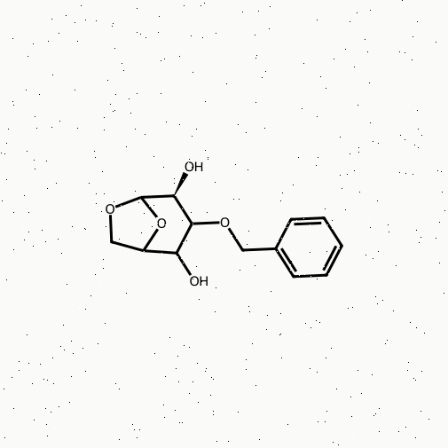 OC1C2COC(O2)[C@@H](O)C1OCc1ccccc1